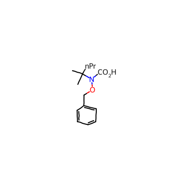 CCCC(C)(C)N(OCc1ccccc1)C(=O)O